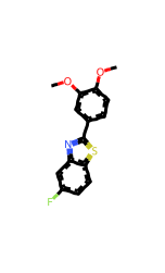 COc1ccc(-c2nc3cc(F)ccc3s2)cc1OC